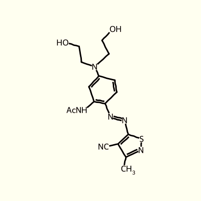 CC(=O)Nc1cc(N(CCO)CCO)ccc1N=Nc1snc(C)c1C#N